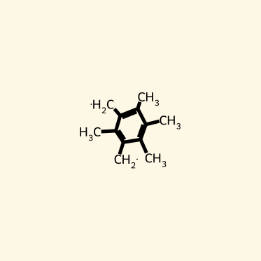 [CH2]c1c(C)c([CH2])c(C)c(C)c1C